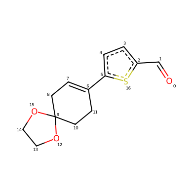 O=Cc1ccc(C2=CCC3(CC2)OCCO3)s1